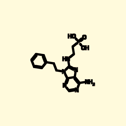 Nc1ncnc2c1nc(NCCP(=O)(O)O)n2CCc1ccccc1